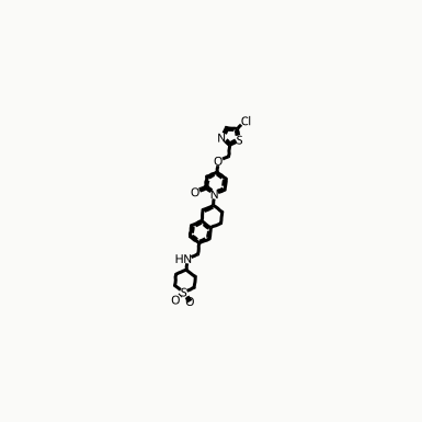 O=c1cc(OCc2ncc(Cl)s2)ccn1C1=Cc2ccc(CNC3CCS(=O)(=O)CC3)cc2CC1